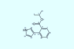 CC(C)OC(=O)c1ccccc1-c1cc[nH]c1